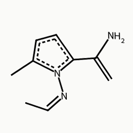 C=C(N)c1ccc(C)n1/N=C\C